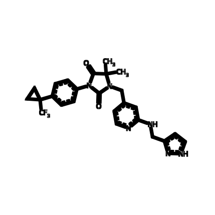 CC1(C)C(=O)N(c2ccc(C3(C(F)(F)F)CC3)cc2)C(=O)N1Cc1ccnc(NCc2cc[nH]n2)c1